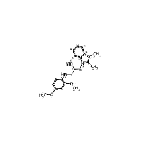 COc1ccc(NCC(O)Cn2c(C)c(C)c3ccccc32)c(OC)c1